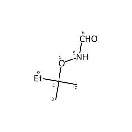 CCC(C)(C)ONC=O